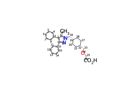 Cc1c(-c2ccccc2)c(-c2ccccc2)nn1C[C@H]1CC[C@@H](COCC(=O)O)CC1